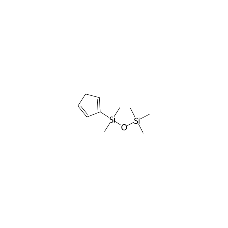 C[Si](C)(C)O[Si](C)(C)C1=CCC=C1